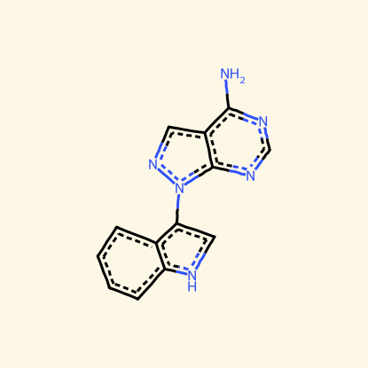 Nc1ncnc2c1cnn2-c1c[nH]c2ccccc12